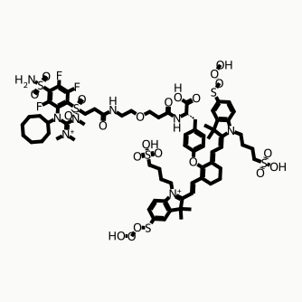 CN(C)C(N(c1c(F)c(S(N)(=O)=O)c(F)c(F)c1S(=O)(=O)CCC(=O)NCCOCCC(=O)N[C@@H](Cc1ccc(OC2=C(/C=C/C3=[N+](CCCCS(=O)(=O)O)c4ccc(SOOO)cc4C3(C)C)CCC/C2=C\C=C2\N(CCCCS(=O)(=O)O)c3ccc(SOOO)cc3C2(C)C)cc1)C(=O)O)C1CCCCCCC1)=[N+](C)C